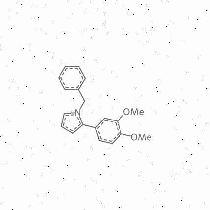 COc1ccc(-c2cccn2Cc2ccccc2)cc1OC